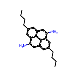 CCCCc1cc2cc(N)c3cc(CCCC)cc4cc(N)c(c1)c2c43